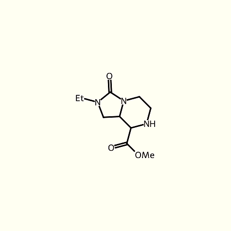 CCN1CC2C(C(=O)OC)NCCN2C1=O